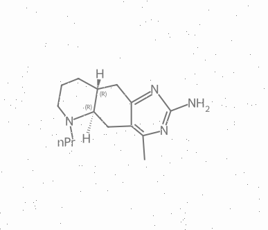 CCCN1CCC[C@@H]2Cc3nc(N)nc(C)c3C[C@H]21